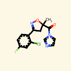 CC1(C(=O)n2ccnc2)CC(c2ccc(F)[c]c2Cl)=NO1